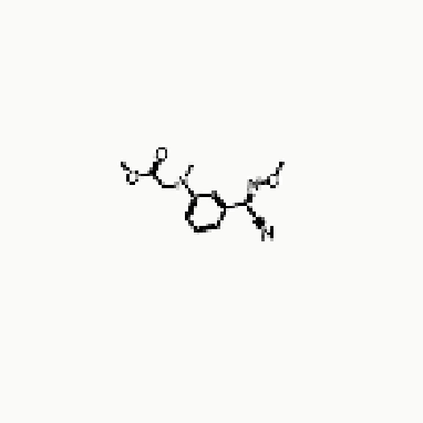 CON=C(C#N)c1cccc(N(C)CC(=O)OC)c1